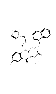 CC(C)[C@H]1C(=O)N(Cc2cccc3ccccc23)CC2N(CCCn3ccnc3)c3ccc([N+](=O)[O-])cc3C(=O)N21